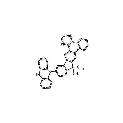 CC1(C)c2ccc(N3c4ccccc4Nc4ccccc43)cc2-c2cc3c(cc21)c1ccccc1c1nccnc31